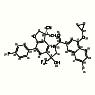 C[C@]1(C#N)COc2c1cc(C(O)(CNC(=O)c1cc(OC3CC3)c3ncc(F)cc3c1)C(F)(F)F)nc2-c1ccc(F)cc1